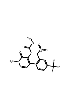 COC(=O)Oc1c(-c2ccc(C(F)(F)F)cc2C[SH](=O)=O)cnn(C)c1=O